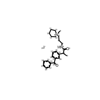 CC(C(=O)NCCC[N+]1(C)CCCCC1)c1cccc(C(=O)c2ccccc2)c1.[I-]